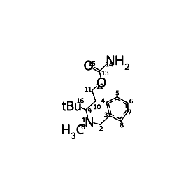 CN(Cc1ccccc1)C(CCOC(N)=O)C(C)(C)C